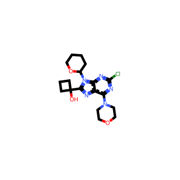 OC1(c2nc3c(N4CCOCC4)nc(Cl)nc3n2C2CCCCO2)CCC1